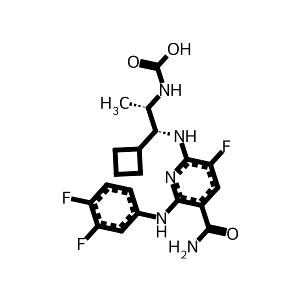 C[C@H](NC(=O)O)[C@H](Nc1nc(Nc2ccc(F)c(F)c2)c(C(N)=O)cc1F)C1CCC1